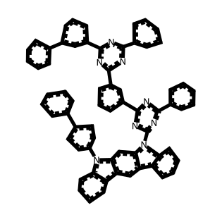 c1ccc(-c2ccc(-n3c4ccccc4c4cc5c6ccccc6n(-c6nc(-c7ccccc7)nc(-c7cccc(-c8nc(-c9ccccc9)nc(-c9cccc(-c%10ccccc%10)c9)n8)c7)n6)c5cc43)cc2)cc1